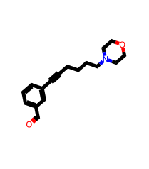 O=Cc1cccc(C#CCCCCN2CCOCC2)c1